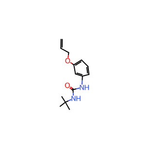 C=CCOc1cccc(NC(=O)NC(C)(C)C)c1